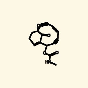 CNC(=O)OC1C#CC=CC#CC2(O)CCC=C1C2=O